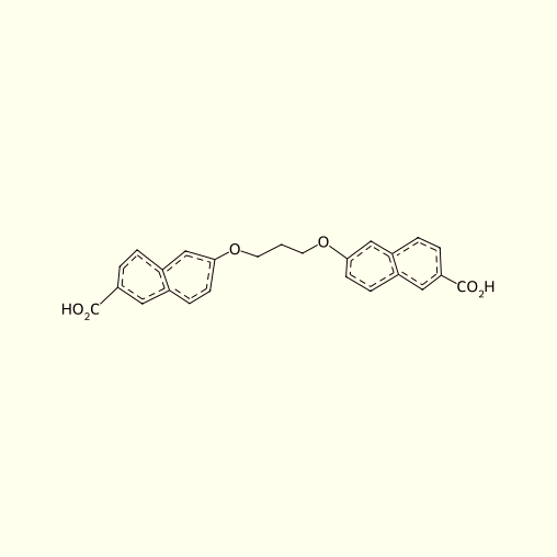 O=C(O)c1ccc2cc(OCCCOc3ccc4cc(C(=O)O)ccc4c3)ccc2c1